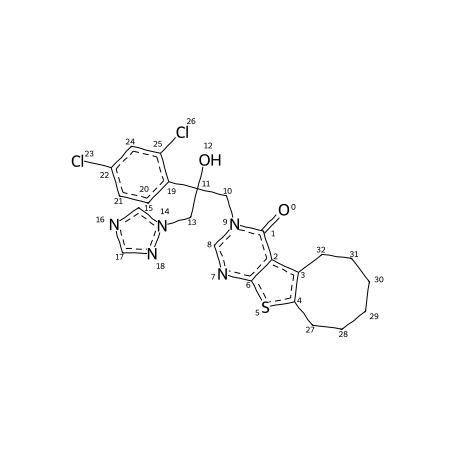 O=c1c2c3c(sc2ncn1CC(O)(Cn1cncn1)c1ccc(Cl)cc1Cl)CCCCCC3